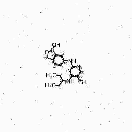 CCC(CC)Nc1nc(Nc2ccc3c(c2)B(O)OC3)ncc1C